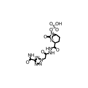 NC(=O)c1nnn(CC(=O)NNC(=O)C2CCC3CN2C(=O)N3OS(=O)(=O)O)n1